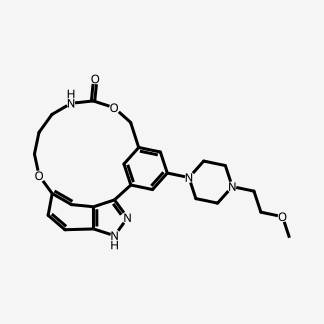 COCCN1CCN(c2cc3cc(c2)-c2n[nH]c4ccc(cc24)OCCCNC(=O)OC3)CC1